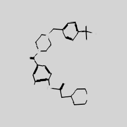 O=C(CC1CCOCC1)Nc1ccc(C(=O)N2CCN(Cc3ccc(C(O)(C(F)(F)F)C(F)(F)F)cc3)CC2)cc1F